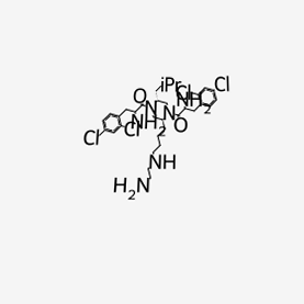 CC(C)C[C@@H]1CN(C(=O)[C@@H](N)Cc2ccc(Cl)cc2Cl)[C@@H](CCCCNCCN)CN1C(=O)[C@H](N)Cc1ccc(Cl)cc1Cl